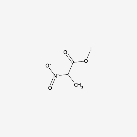 CC(C(=O)OI)[N+](=O)[O-]